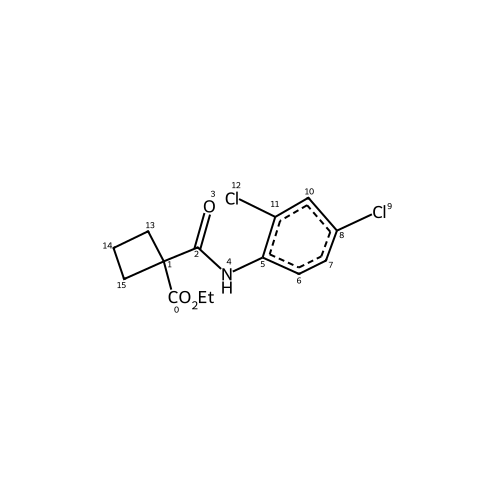 CCOC(=O)C1(C(=O)Nc2ccc(Cl)cc2Cl)CCC1